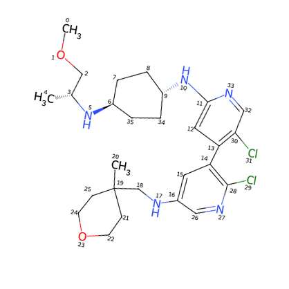 COC[C@@H](C)N[C@H]1CC[C@H](Nc2cc(-c3cc(NCC4(C)CCOCC4)cnc3Cl)c(Cl)cn2)CC1